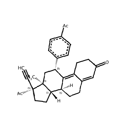 C#C[C@]1(C(C)=O)CC[C@H]2[C@@H]3CCC4=CC(=O)CCC4=C3[C@@H](c3ccc(C(C)=O)cc3)C[C@@]21C